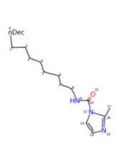 CCCCCCCCCCCCCCCCCCNC(=O)n1ccnc1C